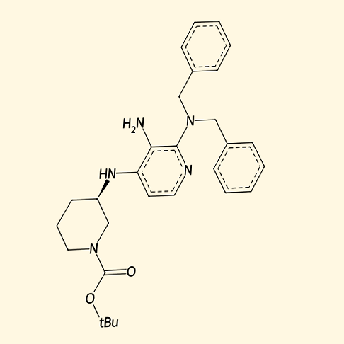 CC(C)(C)OC(=O)N1CCC[C@@H](Nc2ccnc(N(Cc3ccccc3)Cc3ccccc3)c2N)C1